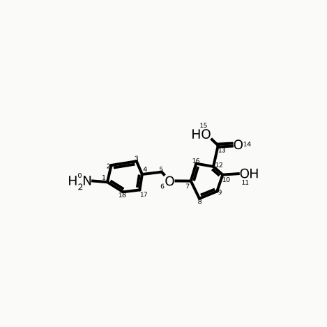 Nc1ccc(COc2ccc(O)c(C(=O)O)c2)cc1